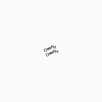 O=P.O=P